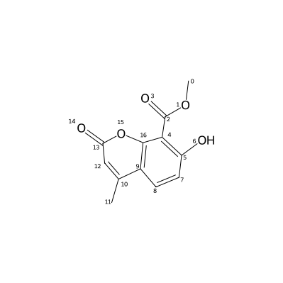 COC(=O)c1c(O)ccc2c(C)cc(=O)oc12